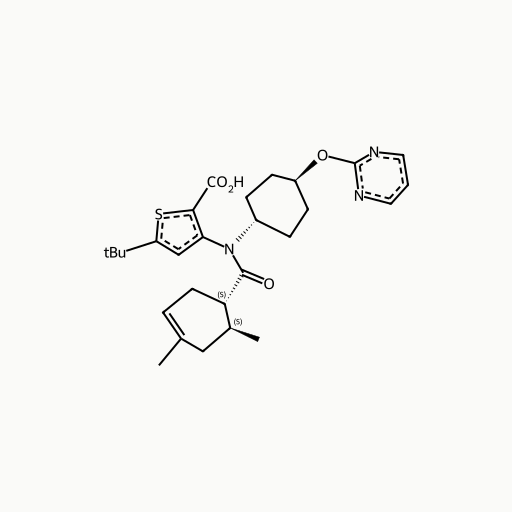 CC1=CC[C@H](C(=O)N(c2cc(C(C)(C)C)sc2C(=O)O)[C@H]2CC[C@H](Oc3ncccn3)CC2)[C@@H](C)C1